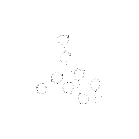 CC1(C)c2cccc3c2-c2c1cccc2C3(c1ccccc1)c1cccc(N(c2ccc(-c3ccccc3)cc2)c2ccc(-c3ccccc3)cc2)c1